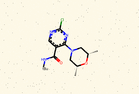 C[C@@H]1CN(c2nc(Cl)ncc2C(=O)NC(C)(C)C)C[C@H](C)O1